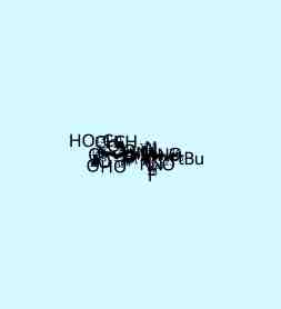 C#C[C@@]1(CC(OC(=O)O)c2oc(=O)oc2C)O[C@@H](n2cnc3c(NC(=O)OC(C)(C)C)nc(F)nc32)C[C@@H]1O